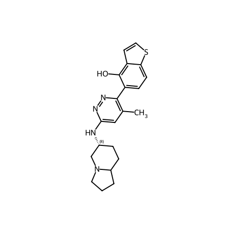 Cc1cc(N[C@@H]2CCC3CCCN3C2)nnc1-c1ccc2sccc2c1O